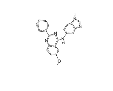 COc1ccc2nc(-c3cccnc3)nc(Nc3ccc4c(c3)ncn4C)c2c1